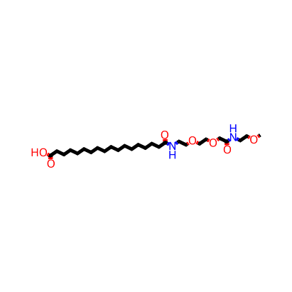 COCCNC(=O)COCCOCCNC(=O)CCCCCCCCCCCCCCCCC(=O)O